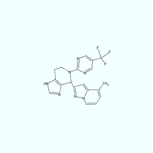 Cc1cccn2nc(C3c4nc[nH]c4CCN3c3ncc(C(F)(F)F)cn3)cc12